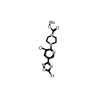 CCc1nc(-c2cnc(N3CCN(C(=O)OC(C)(C)C)CC3)c(Cl)c2)no1